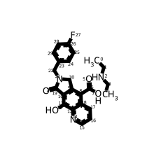 CCNCC.O=C(O)c1c2c(c(O)c3ncccc13)C(=O)N(Cc1ccc(F)cc1)C2